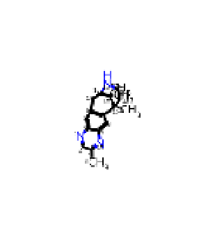 Cc1cnc2cc3c(cc2n1)[C@]1(C)CCNC(C3)C1(C)C